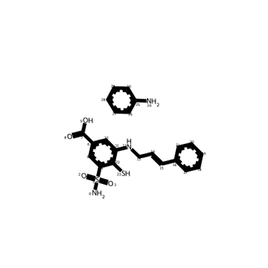 NS(=O)(=O)c1cc(C(=O)O)cc(NCC=Cc2ccccc2)c1S.Nc1ccccc1